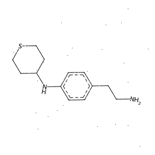 NCCc1ccc(NC2CCSCC2)cc1